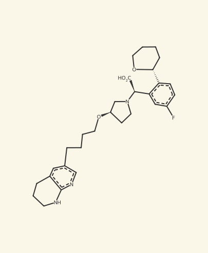 O=C(O)[C@@H](c1cc(F)ccc1[C@H]1CCCCO1)N1CC[C@@H](OCCCCc2cnc3c(c2)CCCN3)C1